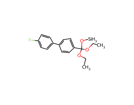 CCOC(O[SiH3])(OCC)c1ccc(-c2ccc(F)cc2)cc1